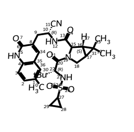 Cc1ccc2[nH]c(=O)c(C[C@H](C#N)NC(=O)C3[C@H]4C(CN3C(=O)[C@H](NS(=O)(=O)C3CC3)C(C)(C)C)C4(C)C)cc2c1